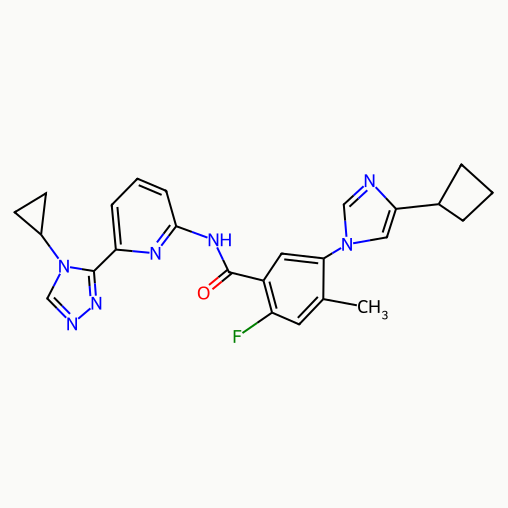 Cc1cc(F)c(C(=O)Nc2cccc(-c3nncn3C3CC3)n2)cc1-n1cnc(C2CCC2)c1